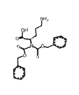 NCCC[C@H](C(=O)O)N(C(=O)OCc1ccccc1)C(=O)OCc1ccccc1